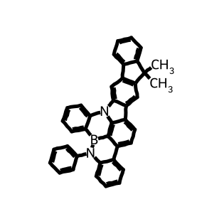 CC1(C)c2ccccc2-c2cc3c(cc21)c1ccc2c4c1n3-c1ccccc1B4N(c1ccccc1)c1ccccc1-2